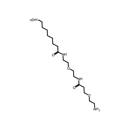 CCCCCCCCCCCCCCCCCC(=O)NCCOCCNC(=O)CCOCCN